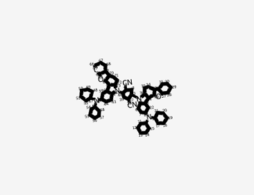 N#Cc1cc(-n2c3ccc(N(c4ccccc4)c4ccccc4)cc3c3c4oc5ccccc5c4ccc32)c(C#N)cc1-n1c2ccc(N(c3ccccc3)c3ccccc3)cc2c2c3oc4ccccc4c3ccc21